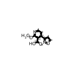 COc1nccc(-c2ccon2)c1C(=O)O